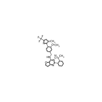 COc1cc(CNc2nc(-c3ccccc3C(C)C)nc3ccoc23)ccc1-c1nc(C(F)(F)F)cn1C